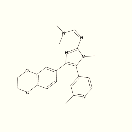 Cc1cc(-c2c(-c3ccc4c(c3)OCCO4)nc(/N=C\N(C)C)n2C)ccn1